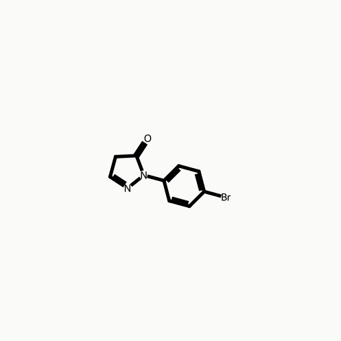 O=C1CC=NN1c1ccc(Br)cc1